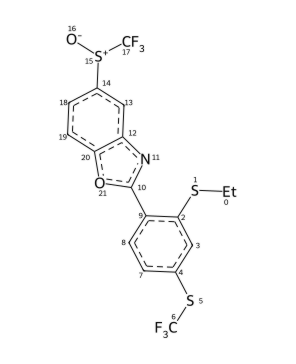 CCSc1cc(SC(F)(F)F)ccc1-c1nc2cc([S+]([O-])C(F)(F)F)ccc2o1